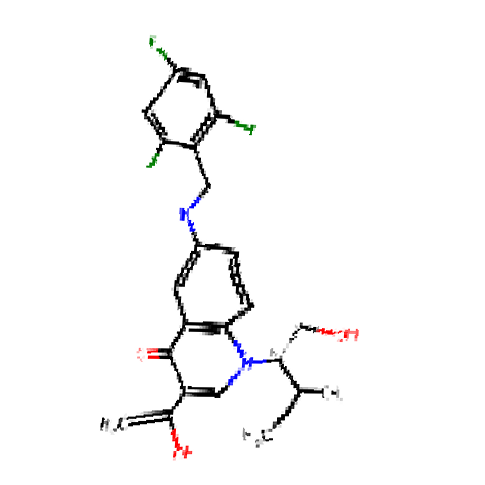 C=C(O)c1cn([C@H](CO)C(C)C)c2ccc(NCc3c(F)cc(F)cc3F)cc2c1=O